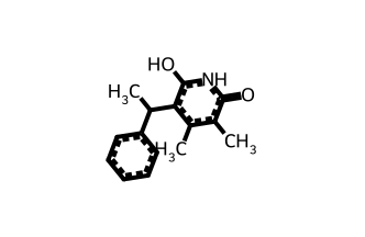 Cc1c(C(C)c2ccccc2)c(O)[nH]c(=O)c1C